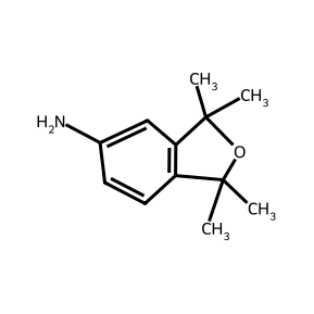 CC1(C)OC(C)(C)c2cc(N)ccc21